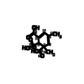 CC1=CC(C)(C(=O)O)C(S(=O)(=O)O)C(C(=O)O)=C1